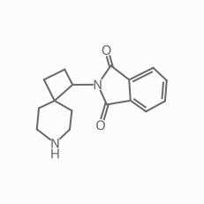 O=C1c2ccccc2C(=O)N1C1CCC12CCNCC2